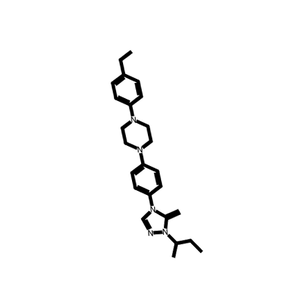 C=C1N(c2ccc(N3CCN(c4ccc(CC)cc4)CC3)cc2)C=NN1C(C)CC